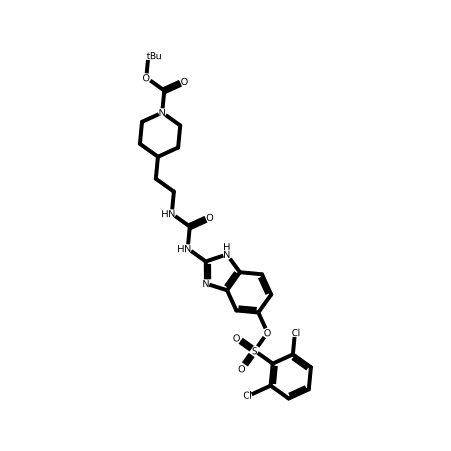 CC(C)(C)OC(=O)N1CCC(CCNC(=O)Nc2nc3cc(OS(=O)(=O)c4c(Cl)cccc4Cl)ccc3[nH]2)CC1